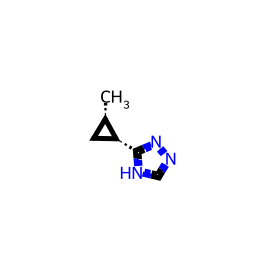 C[C@H]1C[C@H]1c1nnc[nH]1